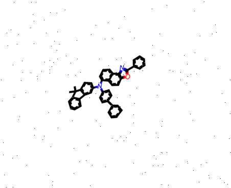 CC1(C)c2ccccc2-c2cc(N(c3ccc(-c4ccccc4)cc3)c3cccc4c3ccc3oc(-c5ccccc5)nc34)ccc21